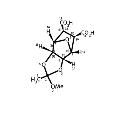 COC1(C)O[C@@H]2[C@H](O1)[C@H]1O[C@@H]2[C@H](C(=O)O)[C@@H]1C(=O)O